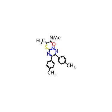 CNC(=O)C(C)Sc1nnc(-c2ccc(C)cc2)c(-c2ccc(C)cc2)n1